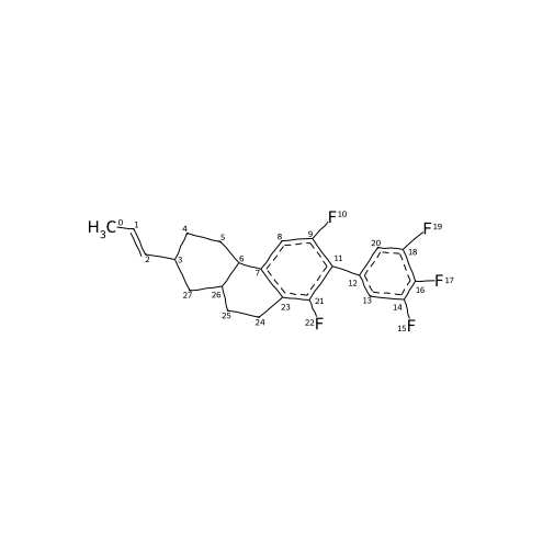 C/C=C/C1CCC2c3cc(F)c(-c4cc(F)c(F)c(F)c4)c(F)c3CCC2C1